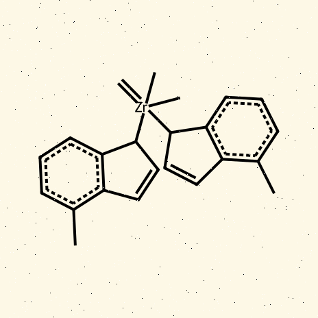 [CH2]=[Zr]([CH3])([CH3])([CH]1C=Cc2c(C)cccc21)[CH]1C=Cc2c(C)cccc21